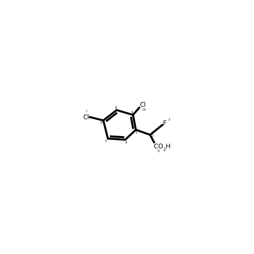 O=C(O)C(F)c1ccc(Cl)cc1Cl